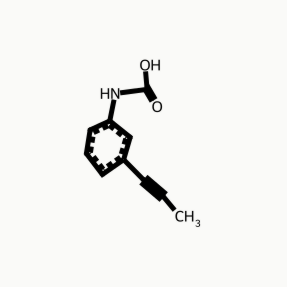 CC#Cc1cccc(NC(=O)O)c1